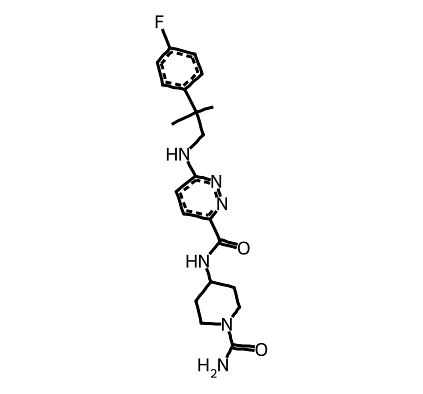 CC(C)(CNc1ccc(C(=O)NC2CCN(C(N)=O)CC2)nn1)c1ccc(F)cc1